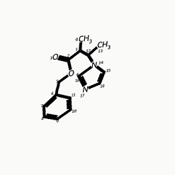 CC(C(=O)OCc1ccccc1)C(C)n1ccnc1